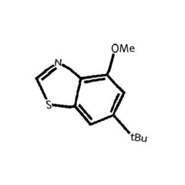 COc1cc(C(C)(C)C)cc2scnc12